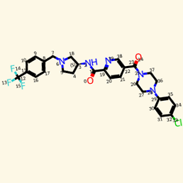 O=C(N[C@H]1CCN(Cc2ccc(C(F)(F)F)cc2)C1)c1ccc(C(=O)N2CCN(c3ccc(Cl)cc3)CC2)cn1